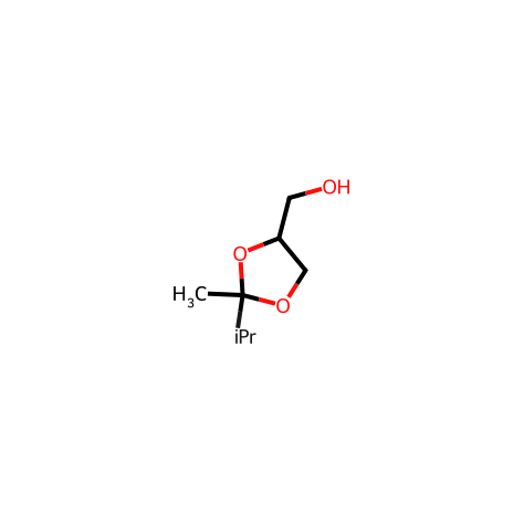 CC(C)C1(C)OCC(CO)O1